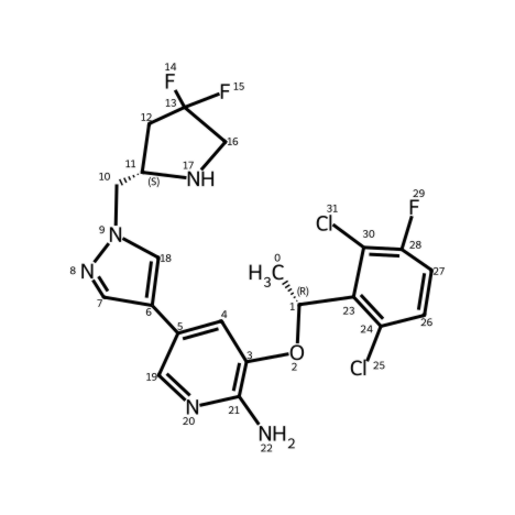 C[C@@H](Oc1cc(-c2cnn(C[C@@H]3CC(F)(F)CN3)c2)cnc1N)c1c(Cl)ccc(F)c1Cl